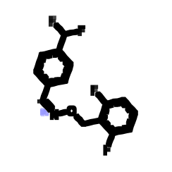 Fc1cccc(F)c1CO/N=[C]\c1ccc(C(F)F)cc1